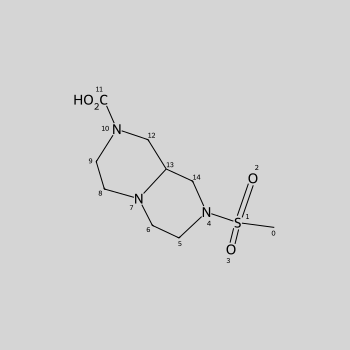 CS(=O)(=O)N1CCN2CCN(C(=O)O)CC2C1